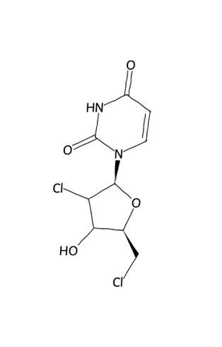 O=c1ccn([C@H]2O[C@@H](CCl)C(O)C2Cl)c(=O)[nH]1